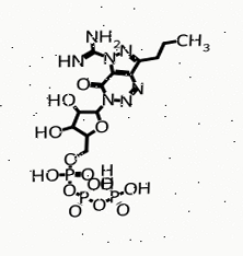 CCCc1nn(C(=N)N)c2c(=O)n(C3OC(COP(=O)(O)OP(=O)(O)OP(=O)(O)O)C(O)C3O)nnc12